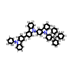 c1ccc(-n2c3ccccc3c3cc(-c4ccc5c(c4)c4ccccc4n5-c4ccc5c(c4)c4ccccc4n5-c4cccc([Si](c5ccccc5)(c5ccccc5)c5ccccc5)c4)ccc32)cc1